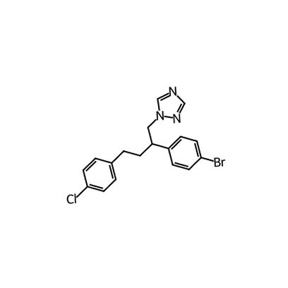 Clc1ccc(CCC(Cn2cncn2)c2ccc(Br)cc2)cc1